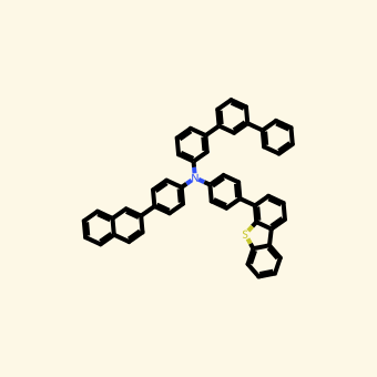 c1ccc(-c2cccc(-c3cccc(N(c4ccc(-c5ccc6ccccc6c5)cc4)c4ccc(-c5cccc6c5sc5ccccc56)cc4)c3)c2)cc1